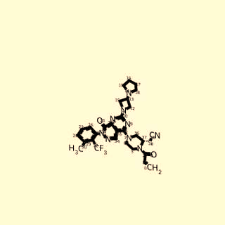 C=CC(=O)N1CCN(c2nc(N3CC(N4CCCC4)C3)nc3c(=O)n(-c4cccc(C)c4C(F)(F)F)ncc23)C[C@@H]1CC#N